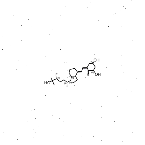 C=C1/C(=C\C=C2CCC[C@@]3(C)C2CC[C@@H]3[C@H](C)CC[C@@H](F)C(C)(C)O)C[C@@H](O)C[C@H]1O